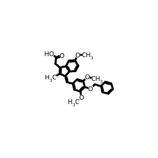 COc1ccc2c(c1)C(CC(=O)O)=C(C)/C2=C/c1cc(OC)c(OCc2ccccc2)c(OC)c1